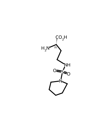 N[C@@H](CCNS(=O)(=O)N1CCCCC1)C(=O)O